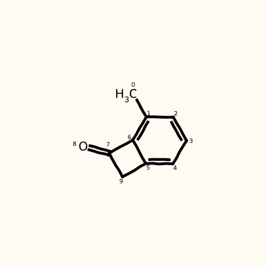 Cc1cccc2c1C(=O)C2